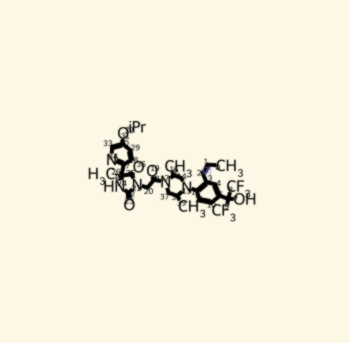 C/C=C\c1cc(C(O)(C(F)(F)F)C(F)(F)F)ccc1N1CC(C)N(C(=O)CN2C(=O)N[C@@](C)(c3ccc(OC(C)C)cn3)C2=O)CC1C